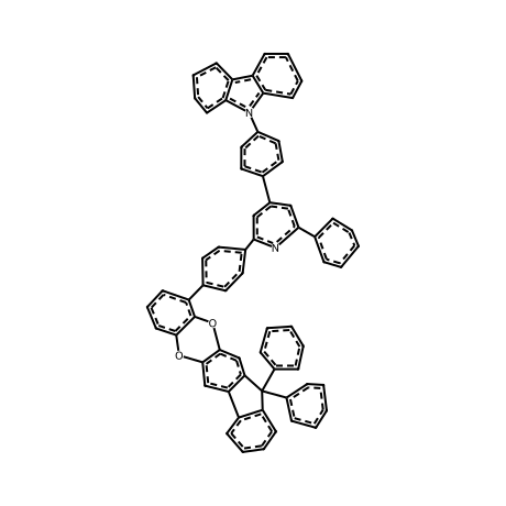 c1ccc(-c2cc(-c3ccc(-n4c5ccccc5c5ccccc54)cc3)cc(-c3ccc(-c4cccc5c4Oc4cc6c(cc4O5)-c4ccccc4C6(c4ccccc4)c4ccccc4)cc3)n2)cc1